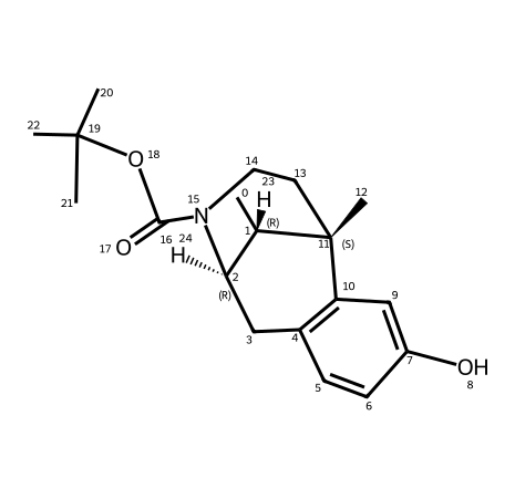 C[C@H]1[C@H]2Cc3ccc(O)cc3[C@@]1(C)CCN2C(=O)OC(C)(C)C